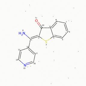 NC(=C1Sc2ccccc2C1=O)c1ccncc1